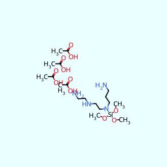 CC(=O)O.CC(=O)O.CC(=O)O.CC(=O)O.CO[Si](OC)(OC)N(CCCN)CCNCCN